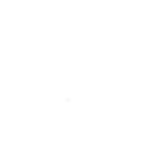 CC1=C(N)C(=O)[N]C(Cc2ccccc2)=C1